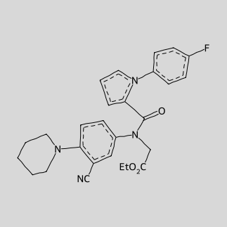 CCOC(=O)CN(C(=O)c1cccn1-c1ccc(F)cc1)c1ccc(N2CCCCC2)c(C#N)c1